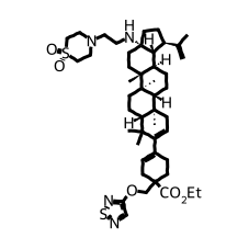 C=C(C)[C@@H]1CC[C@]2(NCCN3CCS(=O)(=O)CC3)CC[C@]3(C)[C@H](CC[C@@H]4[C@@]5(C)CC=C(C6=CCC(COc7cnsn7)(C(=O)OCC)CC6)C(C)(C)[C@@H]5CC[C@]43C)[C@@H]12